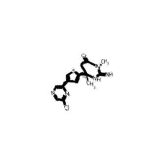 CN1C(=N)N[C@](C)(c2cc(-c3cncc(Cl)n3)cs2)CC1=O